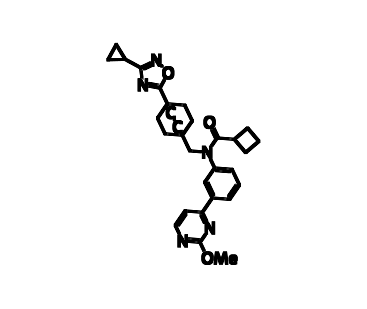 COc1nccc(-c2cccc(N(CC34CCC(c5nc(C6CC6)no5)(CC3)CC4)C(=O)C3CCC3)c2)n1